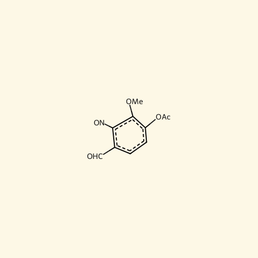 COc1c(OC(C)=O)ccc(C=O)c1N=O